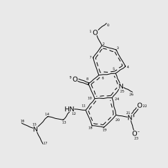 COc1ccc2c(c1)c(=O)c1c(NCCN(C)C)ccc([N+](=O)[O-])c1n2C